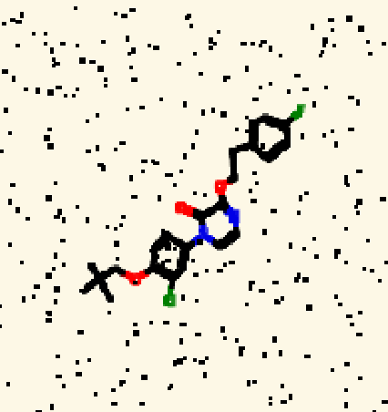 CC(C)(C)COc1ccc(-n2ccnc(OCCc3ccc(F)cc3)c2=O)cc1Cl